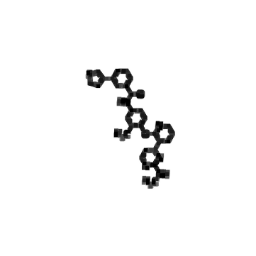 CNc1nccc(-c2cccnc2Oc2ccc(NC(=O)c3cccc(-c4ccsc4)c3)cc2C)n1